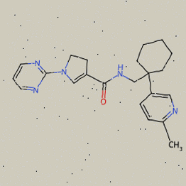 Cc1ccc(C2(CNC(=O)C3=CN(c4ncccn4)CC3)CCCCC2)cn1